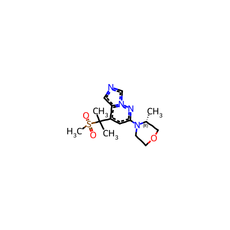 C[C@@H]1COCCN1c1cc(C(C)(C)S(C)(=O)=O)c2cncn2n1